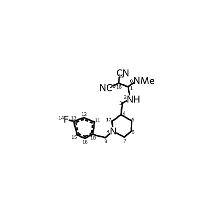 CNC(NCC1CCCN(Cc2ccc(F)cc2)C1)C(C#N)C#N